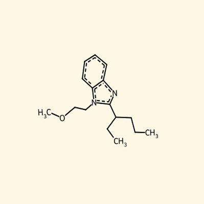 CCCC(CC)c1nc2ccccc2n1CCOC